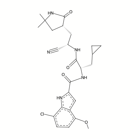 COc1ccc(Cl)c2[nH]c(C(=O)N[C@@H](CC3CC3)C(=O)N[C@H](C#N)C[C@@H]3CC(C)(C)NC3=O)cc12